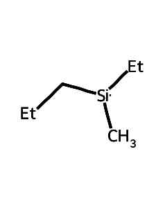 CCC[Si](C)CC